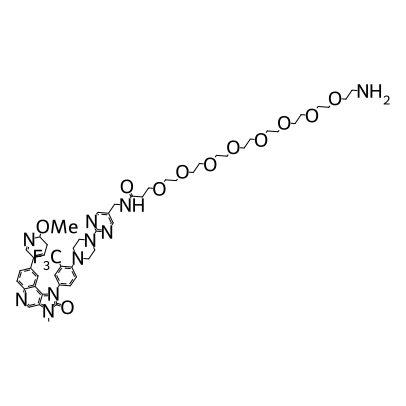 COC1CC=C(c2ccc3ncc4c(c3c2)n(-c2ccc(N3CCN(c5ncc(CNC(=O)CCOCCOCCOCCOCCOCCOCCOCCOCCN)cn5)CC3)c(C(F)(F)F)c2)c(=O)n4C)C=N1